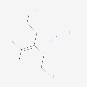 Br.Br.CCCCCCCCCCCCC(CCCCCCCCCCCC)=C(C)C.N.N